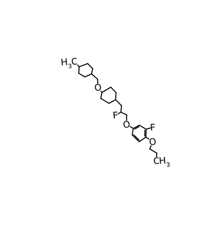 CCCOc1ccc(OCC(F)CC2CCC(OCC3CCC(C)CC3)CC2)cc1F